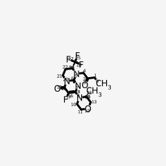 CCC(=O)CN1c2nc(N3CCOC[C@H]3C)c(F)c(=O)n2CC[C@H]1C(F)(F)F